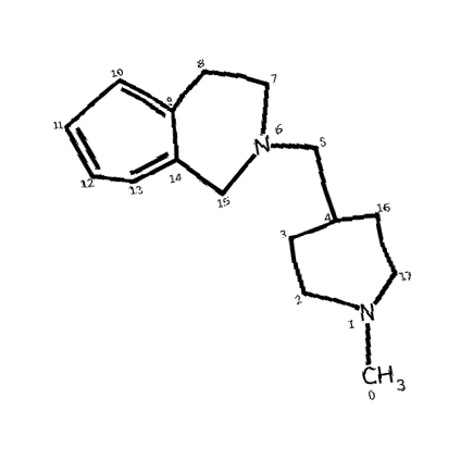 CN1CCC(CN2CCc3cc[c]cc3C2)CC1